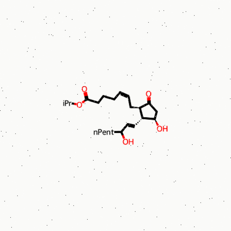 CCCCCC(O)/C=C/[C@H]1[C@H](O)CC(=O)[C@@H]1C/C=C\CCCC(=O)OC(C)C